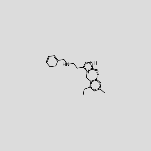 CCc1cc(C)cc(F)c1Cn1c(CCNCC2=CC=CCC2)c[nH]c1=S